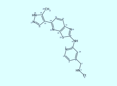 CCNCc1ccnc(Nc2nc3ccc(-c4cn[nH]c4C)nc3s2)c1